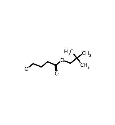 CC(C)(C)COC(=O)CCC[O]